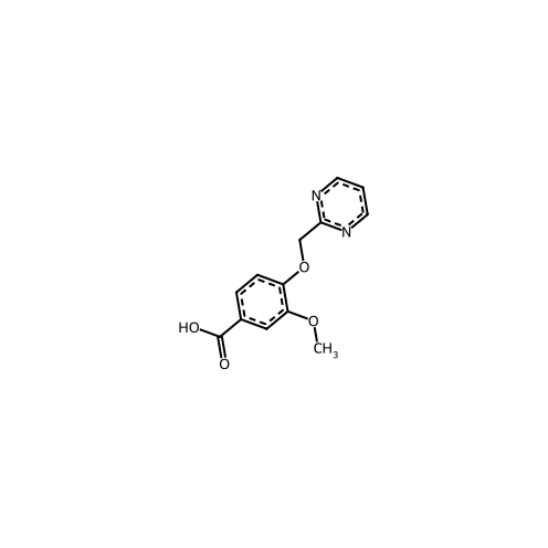 COc1cc(C(=O)O)ccc1OCc1ncccn1